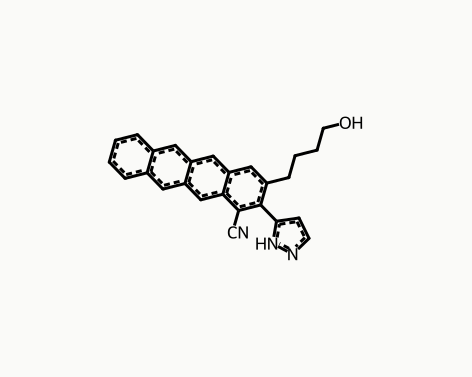 N#Cc1c(-c2ccn[nH]2)c(CCCCO)cc2cc3cc4ccccc4cc3cc12